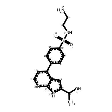 CC(O)c1cc2c(-c3ccc(S(=O)(=O)NCCN)cc3)ccnc2[nH]1